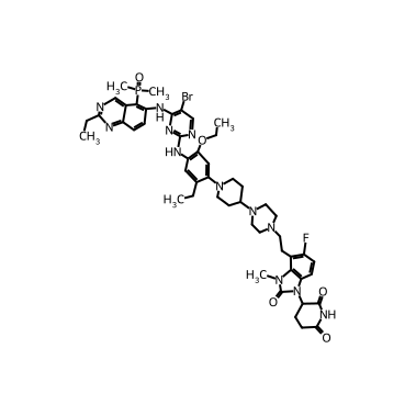 CCOc1cc(N2CCC(N3CCN(CCc4c(F)ccc5c4n(C)c(=O)n5C4CCC(=O)NC4=O)CC3)CC2)c(CC)cc1Nc1ncc(Br)c(Nc2ccc3nc(CC)ncc3c2P(C)(C)=O)n1